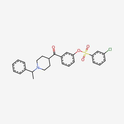 CC(c1ccccc1)N1CCC(C(=O)c2cccc(OS(=O)(=O)c3cccc(Cl)c3)c2)CC1